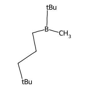 CB(CCCC(C)(C)C)C(C)(C)C